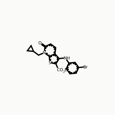 CCOC(=O)c1sc2c(ccc(=O)n2CC2CC2)c1Nc1cccc(Br)c1